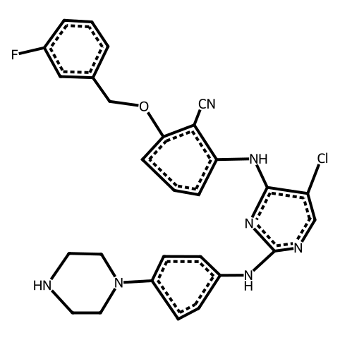 N#Cc1c(Nc2nc(Nc3ccc(N4CCNCC4)cc3)ncc2Cl)cccc1OCc1cccc(F)c1